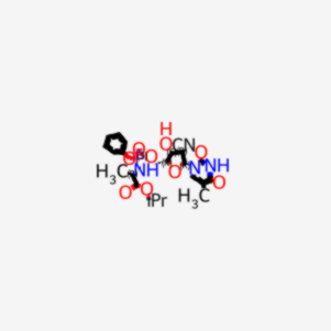 Cc1cn([C@@H]2O[C@H](CO[P@@](=O)(N[C@H](C)C(=O)OC(C)C)Oc3ccccc3)[C@@H](O)[C@H]2C#N)c(=O)[nH]c1=O